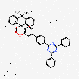 CC1(C)c2ccccc2C2(c3ccccc3Oc3cc(-c4ccc(-c5nc(-c6ccccc6)nc(-c6ccccc6)n5)cc4)ccc32)c2ccccc21